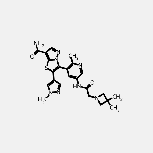 Cc1ncc(NC(=O)CN2CC(C)(C)C2)cc1-c1c(-c2cnn(C)c2)sc2c(C(N)=O)cnn12